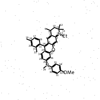 CC[N+]1=c2cc3c(cc2C(C)CC1(C)C)=C(c1ccc(C)cc1C)c1ccc(N(C)c2ccc(OC)cc2)cc1O3